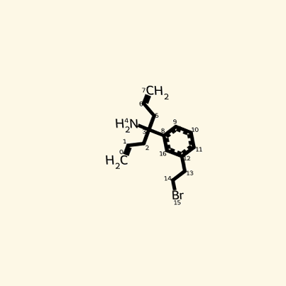 C=CCC(N)(CC=C)c1[c]ccc(CCBr)c1